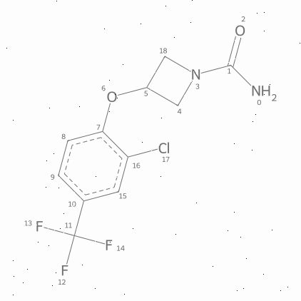 NC(=O)N1CC(Oc2ccc(C(F)(F)F)cc2Cl)C1